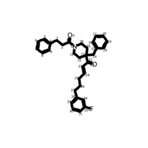 O=C(CCc1ccccc1)N1CCC(Cc2ccccc2)(C(=O)/C=C/CCCc2cccc(F)c2)CC1